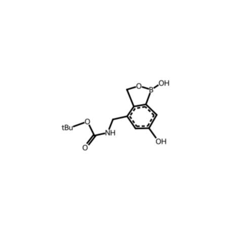 CC(C)(C)OC(=O)NCc1cc(O)cc2c1COB2O